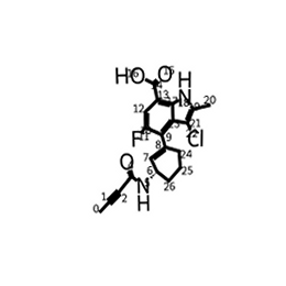 CC#CC(=O)N[C@@H]1C=C(c2c(F)cc(C(=O)O)c3[nH]c(C)c(Cl)c23)CCC1